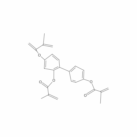 C=C(C)C(=C)Oc1ccc(-c2ccc(OC(=O)C(=C)C)cc2)c(OC(=O)C(=C)C)c1